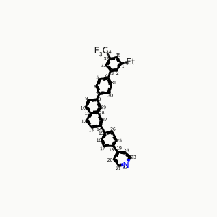 CCc1cc(-c2ccc(-c3ccc4ccc(-c5ccc(-c6ccncc6)cc5)cc4c3)cc2)cc(C(F)(F)F)c1